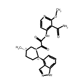 COc1nccc(NC(=O)C(=O)N2C[C@@H](C)CC[C@@H]2c2cccc3[nH]ncc23)c1C(N)=O